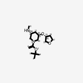 C=C(OC(C)(C)C)N1C[C@H](NC)C[C@@H](O[C@@H]2CCOC2)C1